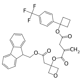 C=C(CC(=O)OC1(c2ccc(C(F)(F)F)cc2)CCC1)C(=O)OC1(CC(=O)OCC2c3ccccc3-c3ccccc32)COC1